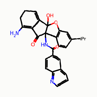 CC(C)c1ccc2c(c1)OC1(O)C3=CCCC(N)=C3C(=O)C21NC(=O)c1ccc2ncccc2c1